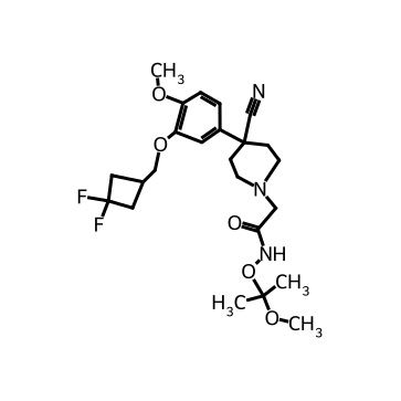 COc1ccc(C2(C#N)CCN(CC(=O)NOC(C)(C)OC)CC2)cc1OCC1CC(F)(F)C1